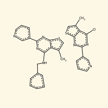 Cc1csc2nc(-c3cccnc3)nc(Cl)c12.Cc1csc2nc(-c3cccnc3)nc(NCc3ccccc3)c12